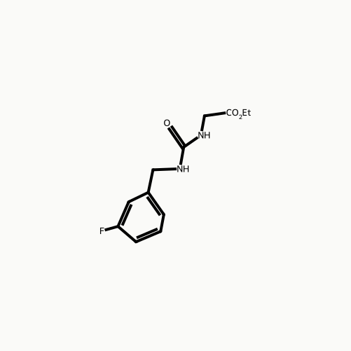 CCOC(=O)CNC(=O)NCc1cccc(F)c1